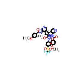 COc1ccc(C(=O)Nc2cnccc2C(C)C2(C(C)c3ccncc3NC(=O)c3ccc(OC)cc3)NC(=O)N(c3ccc(S(=O)(=O)C(F)(F)F)cc3)C2=O)cc1